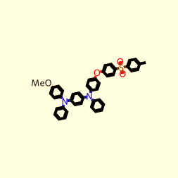 COc1ccc(N(c2ccccc2)c2ccc(N(c3ccccc3)c3ccc(Oc4ccc(S(=O)(=O)c5ccc(C)cc5)cc4)cc3)cc2)cc1